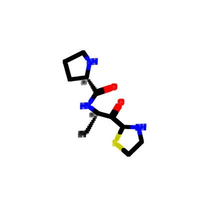 CC(C)[C@H](NC(=O)[C@@H]1CCCN1)C(=O)C1NCCS1